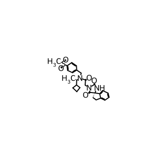 C[C@@H](C1CCC1)N(Cc1ccc(S(C)(=O)=O)cc1)C(=O)CN1C(=O)N[C@]2(CCc3ccccc32)C1=O